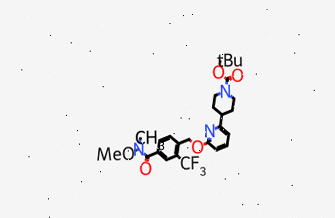 CON(C)C(=O)c1ccc(COc2cccc(C3CCN(C(=O)OC(C)(C)C)CC3)n2)c(C(F)(F)F)c1